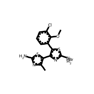 Br.COc1c(Cl)cccc1-c1sc(N)nc1-c1sc(N)nc1C